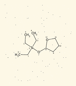 CC[Si](CC)(CC)OC1CCCO1